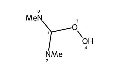 CNC(NC)OO